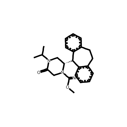 COC(=N)N1CC(=O)N(C(C)C)C[C@@H]1C1c2ccccc2CCc2ccccc21